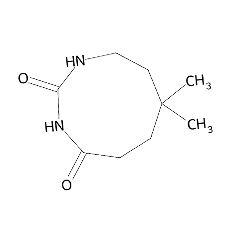 CC1(C)CCNC(=O)NC(=O)CC1